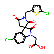 O=C(O)CN1C(=O)C2(CC(=O)N(Cc3ccc(Cl)s3)C2=O)c2cc(Cl)ccc21